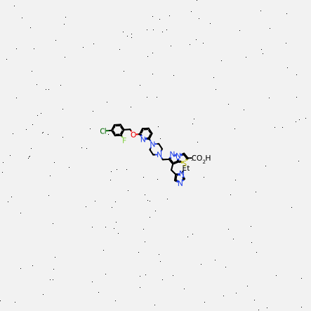 CCn1cncc1Cc1c(CN2CCN(c3cccc(OCc4ccc(Cl)cc4F)n3)CC2)nn2cc(C(=O)O)sc12